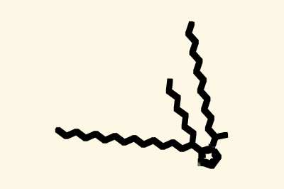 CCCCCCCCCCCCCCC(CCCCCCC)c1nccn1C(C)CCCCCCCCCCCC